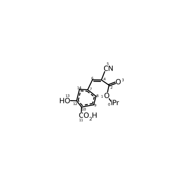 CC(C)OC(=O)C(C#N)=Cc1ccc(C(=O)O)c(O)c1